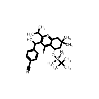 CC(C)c1nc2c(c(I)c1C(O)c1ccc(C#N)cc1)[C@@H](O[Si](C)(C)C(C)(C)C)CC(C)(C)C2